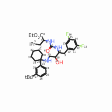 CCOC(=O)C(CC(C)C)NC(=O)NC(Cc1cc(F)cc(F)c1)C(O)CNC1(c2cccc(C(C)(C)C)c2)CCCCC1